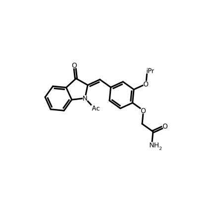 CC(=O)N1C(=Cc2ccc(OCC(N)=O)c(OC(C)C)c2)C(=O)c2ccccc21